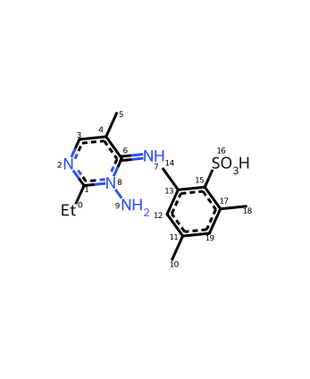 CCc1ncc(C)c(=N)n1N.Cc1cc(C)c(S(=O)(=O)O)c(C)c1